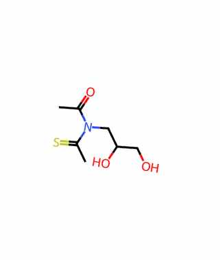 CC(=O)N(CC(O)CO)C(C)=S